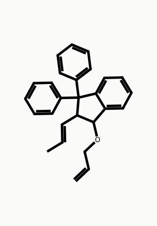 C=CCOC1c2ccccc2C(c2ccccc2)(c2ccccc2)C1C=CC